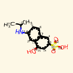 CC(C)Nc1ccc2cc(S(=O)(=O)O)cc(O)c2c1